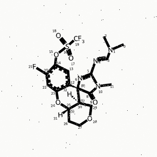 CN(C)C=NC1=N[C@@]2(C(=O)N1C)c1cc(OS(=O)(=O)C(F)(F)F)c(F)cc1O[C@H]1CCOC[C@@H]12